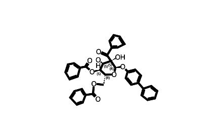 O=C(OC[C@H]1O[C@H](Oc2ccc(-c3ccccc3)cc2)[C@](O)(C(=O)c2ccccc2)[C@@H](O)[C@@H]1OC(=O)c1ccccc1)c1ccccc1